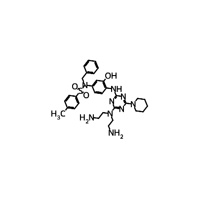 Cc1ccc(S(=O)(=O)N(Cc2ccccc2)c2ccc(Nc3nc(N(CCN)CCN)nc(N4CCCCC4)n3)c(O)c2)cc1